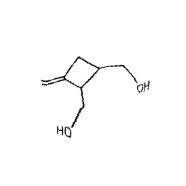 C=C1CC(CO)C1CO